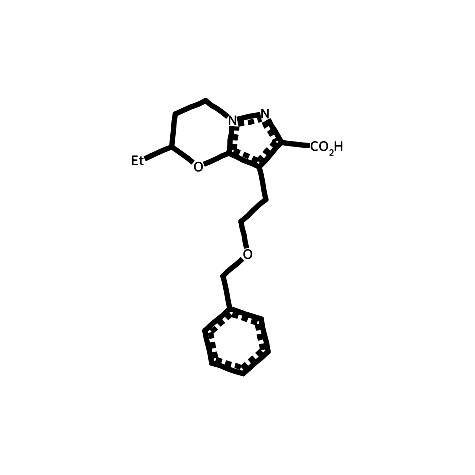 CCC1CCn2nc(C(=O)O)c(CCOCc3ccccc3)c2O1